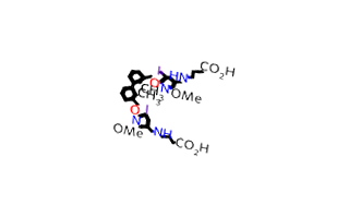 COc1nc(OCc2cccc(-c3cccc(COc4nc(OC)c(CNCCCC(=O)O)cc4I)c3C)c2C)c(I)cc1CNCCCC(=O)O